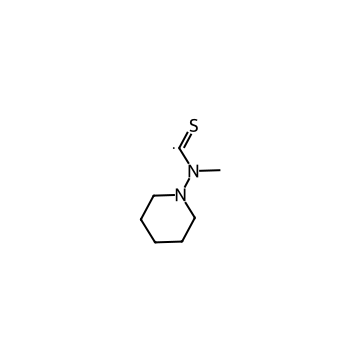 CN([C]=S)N1CCCCC1